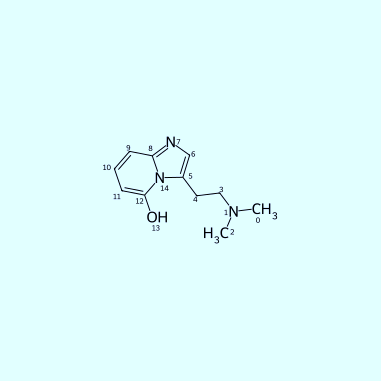 CN(C)CCc1cnc2cccc(O)n12